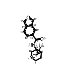 O=C(N[C@H]1CN2CCC1CC2)c1ccc2cocc2c1